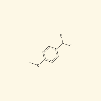 [CH2]Oc1ccc(C(F)F)cc1